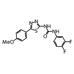 COc1ccc(-c2nnc(NC(=O)Nc3ccc(F)c(F)c3)s2)cc1